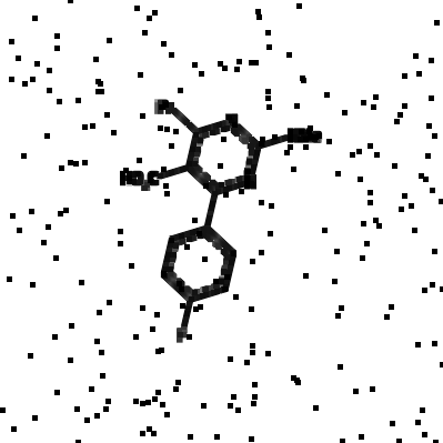 CNc1nc(-c2ccc(F)cc2)c(C(=O)O)c(C(C)C)n1